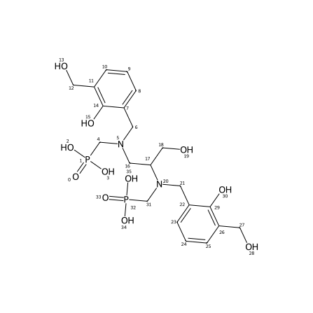 O=P(O)(O)CN(Cc1cccc(CO)c1O)CC(CO)N(Cc1cccc(CO)c1O)CP(=O)(O)O